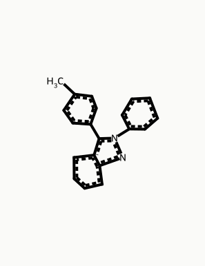 Cc1ccc(-c2c3ccccc3nn2-c2ccccc2)cc1